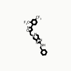 FC(F)(F)c1ccc(-c2cc(Cn3cc4nc(NCc5ccccc5)nc-4cn3)on2)c(C(F)(F)F)c1